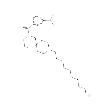 CC(C)c1ncc(C(=O)N2CCOC3(CCN(CCCCCCCCCO)CC3)C2)s1